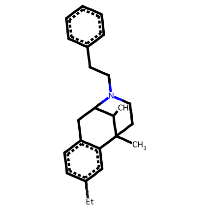 CCc1ccc2c(c1)C1(C)CCN(CCc3ccccc3)C(C2)C1C